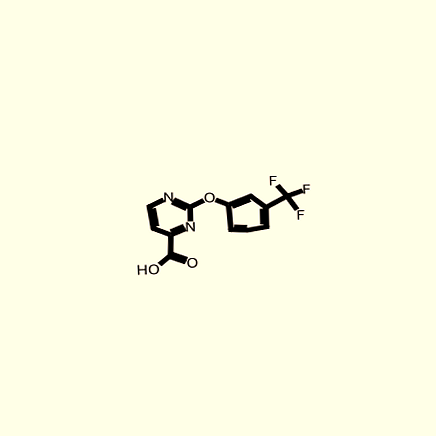 O=C(O)c1ccnc(Oc2cccc(C(F)(F)F)c2)n1